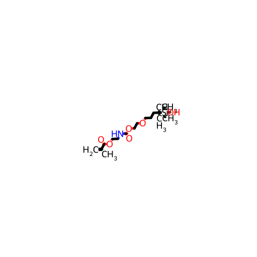 C=C(C)C(=O)OCCNC(=O)OCCOCCCC(C)(C)[Si](C)(C)O